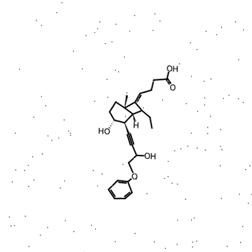 CCC1C(=CCCC(=O)O)[C@@]2(C)CC[C@@H](O)[C@H](C#CC(O)COc3ccccc3)[C@@H]12